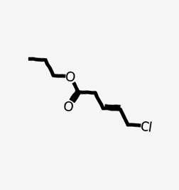 CCCOC(=O)CC=CCCl